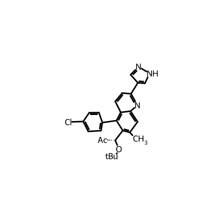 CC(=O)[C@@H](OC(C)(C)C)c1c(C)cc2nc(-c3cn[nH]c3)ccc2c1-c1ccc(Cl)cc1